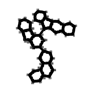 c1ccc2cc3c(cc2c1)c1ccccc1n3-c1nc(-c2ccc3ccc4ccccc4c3c2)nc2oc3ccccc3c12